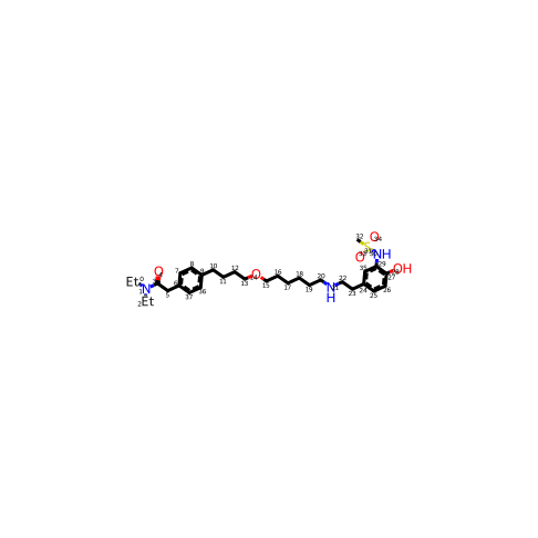 CCN(CC)C(=O)Cc1ccc(CCCCOCCCCCCNCCc2ccc(O)c(NS(C)(=O)=O)c2)cc1